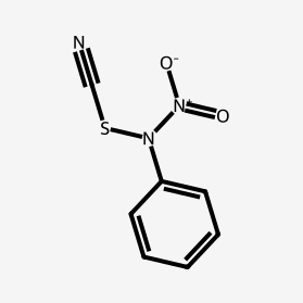 N#CSN(c1ccccc1)[N+](=O)[O-]